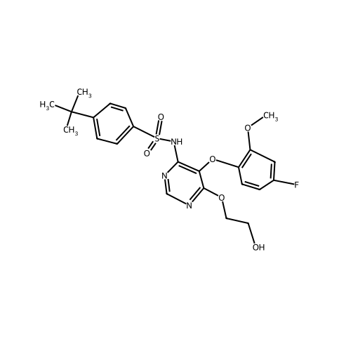 COc1cc(F)ccc1Oc1c(NS(=O)(=O)c2ccc(C(C)(C)C)cc2)ncnc1OCCO